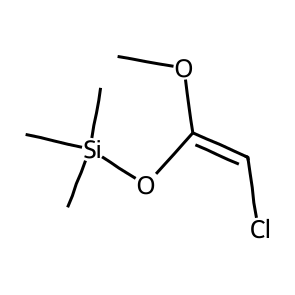 CO/C(=C/Cl)O[Si](C)(C)C